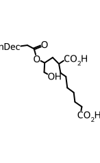 CCCCCCCCCCCC(=O)OC(CO)CC(CCCCCCC(=O)O)C(=O)O